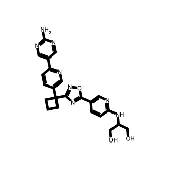 Nc1ncc(-c2ccc(C3(c4noc(-c5ccc(NC(CO)CO)nc5)n4)CCC3)cn2)cn1